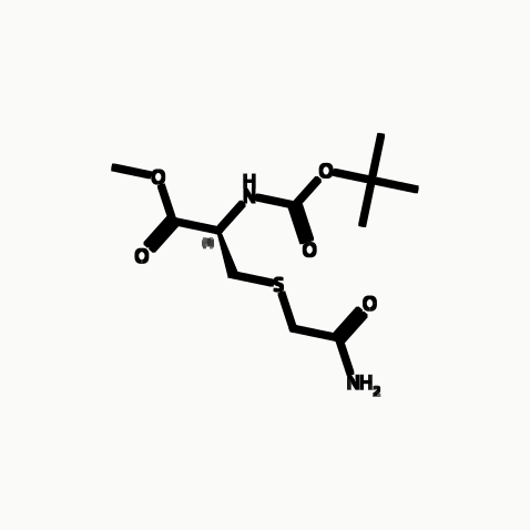 COC(=O)[C@H](CSCC(N)=O)NC(=O)OC(C)(C)C